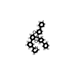 S=P12c3ccc(-c4ccccc4)cc3Oc3ccc(-c4cccc(-c5ccccn5)c4)c(c31)Oc1cc(-c3ccccc3)ccc12